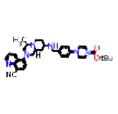 C[C@@H]1CN(c2ccc(C#N)c3ncccc23)C[C@@H]2CC(NCc3ccc(N4CCN(C(=O)OC(C)(C)C)CC4)cc3)CCN21